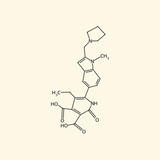 CCc1c(-c2ccc3c(c2)cc(CN2CCCC2)n3C)[nH]c(=O)c(C(=O)O)c1C(=O)O